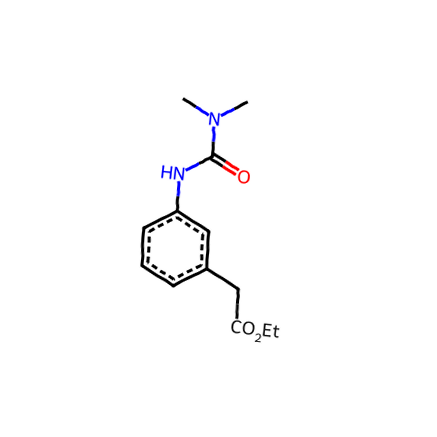 CCOC(=O)Cc1cccc(NC(=O)N(C)C)c1